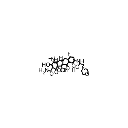 CN(C)[C@@H]1C(O)=C(C(N)=O)C(=O)[C@@]2(O)C(O)=C3C(=O)c4c(O)c(NC(=O)CN5CCOCC5)cc(F)c4C[C@H]3C[C@@H]12